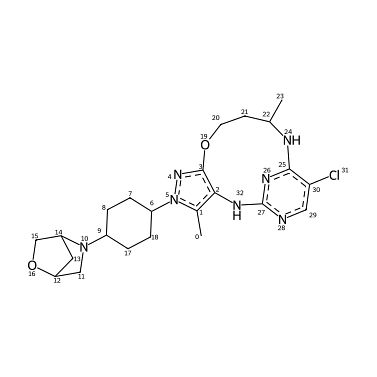 Cc1c2c(nn1C1CCC(N3CC4CC3CO4)CC1)OCCC(C)Nc1nc(ncc1Cl)N2